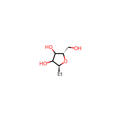 CC[C@@H]1O[C@@H](CO)C(O)C1O